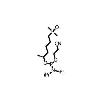 CC(C)N(C(C)C)P(OCCC#N)O[C@@H](C)CCCCP(C)(C)=O